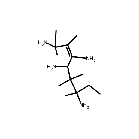 CCC(C)(N)C(C)(C)C(N)/C(N)=C(/C)C(C)(C)N